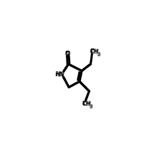 CCC1=C(CC)C(=O)NC1